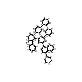 C1=CC(c2ccc(-c3nc(-c4ccccc4)nc(-c4c(-c5ccc(-c6ccccc6)cc5)ccc5oc6ccccc6c45)n3)c3ccccc23)=CCC1